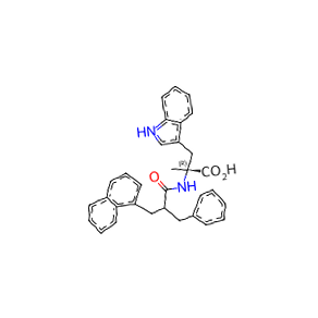 C[C@](Cc1c[nH]c2ccccc12)(NC(=O)C(Cc1ccccc1)Cc1cccc2ccccc12)C(=O)O